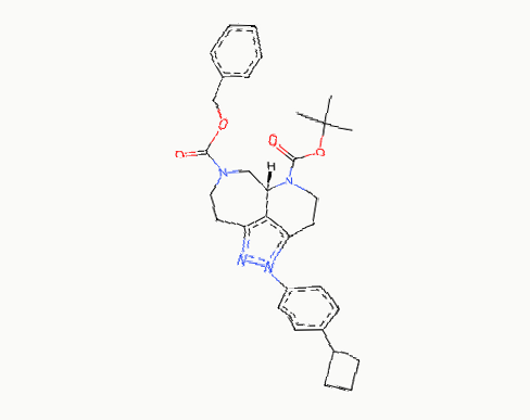 CC(C)(C)OC(=O)N1CCc2c3c(nn2-c2ccc(C4CCC4)cc2)CCN(C(=O)OCc2ccccc2)C[C@@H]31